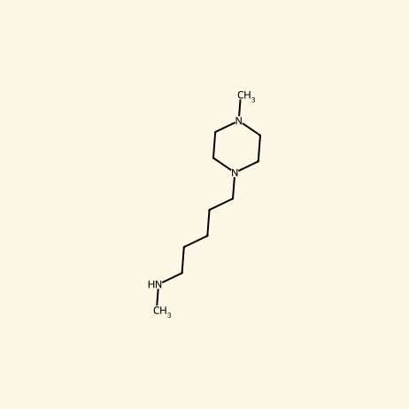 CNCCCCCN1CCN(C)CC1